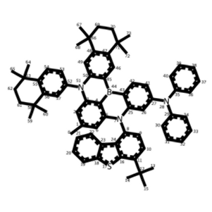 Cc1cc2c3c(c1)N(c1ccc(C(C)(C)C)c4sc5ccccc5c14)c1cc(N(c4ccccc4)c4ccccc4)ccc1B3c1cc3c(cc1N2c1ccc2c(c1)C(C)(C)CCC2(C)C)C(C)(C)CCC3(C)C